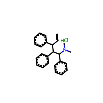 C=CC(c1ccccc1)C(c1ccccc1)C(c1ccccc1)N(C)C.Cl